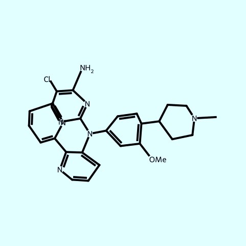 COc1cc(N(c2ncc(Cl)c(N)n2)c2cccnc2-c2ccccn2)ccc1C1CCN(C)CC1